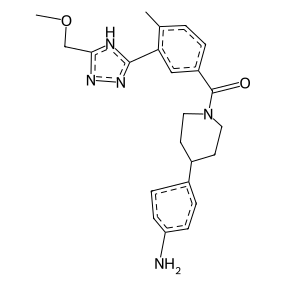 COCc1nnc(-c2cc(C(=O)N3CCC(c4ccc(N)cc4)CC3)ccc2C)[nH]1